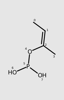 CC=C(C)OP(O)O